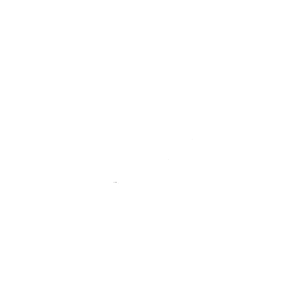 CCCCCCCC/C=C\CCCCCCCCOCC(O)COCCCCCCCC/C=C\CCCCCCCC